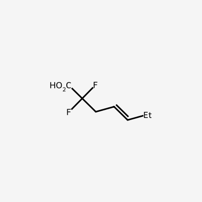 CCC=CCC(F)(F)C(=O)O